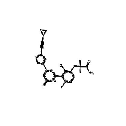 CC(C)(Cc1ccc(F)c(-c2nc(-c3cnc(C#CC4CC4)s3)cc(=O)[nH]2)c1Cl)C(N)=O